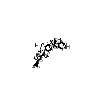 C[C@H]1CN(S(=O)(=O)N(C)C2CCNCC2)CC[C@H]1NC(=O)c1cc(C2CC2)on1